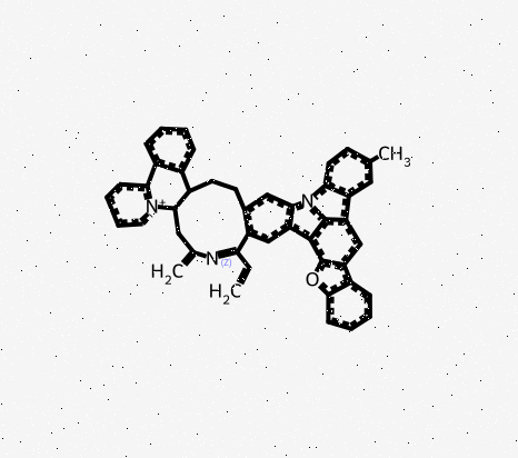 C=C/C1=N/C(=C)CC2C(CCc3cc4c(cc31)c1c3oc5ccccc5c3cc3c5cc(C)ccc5n4c31)c1ccccc1-c1cccc[n+]12